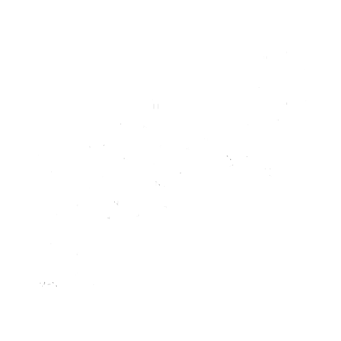 CNC(=O)c1ccc2c(C3CCCCC3)c3n(c2c1)CCN(C1CCN(C(=O)OCc2ccccc2)CC1)c1cc(C)ccc1-3